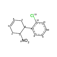 O=[N+]([O-])C1CC=CCC1c1ccccc1Cl